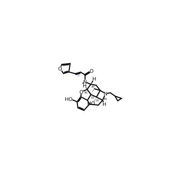 CN(C(=O)/C=C/c1ccoc1)[C@@H]1CC23C[C@@]45C6C(=C(O)C=CC6C[C@@H](N2CC2CC2)[C@]34O)O[C@@H]15